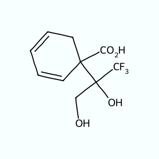 O=C(O)C1(C(O)(CO)C(F)(F)F)C=CC=CC1